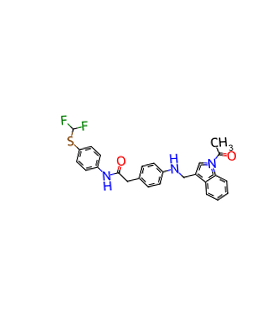 CC(=O)n1cc(CNc2ccc(CC(=O)Nc3ccc(SC(F)F)cc3)cc2)c2ccccc21